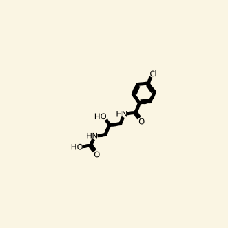 O=C(O)NCC(O)CNC(=O)c1ccc(Cl)cc1